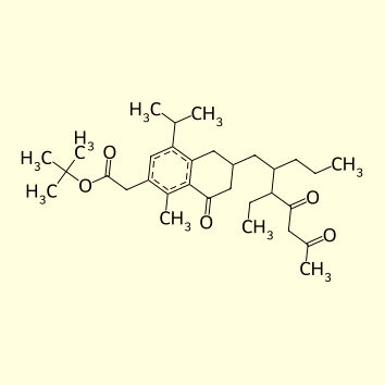 CCCC(CC1CC(=O)c2c(C)c(CC(=O)OC(C)(C)C)cc(C(C)C)c2C1)C(CC)C(=O)CC(C)=O